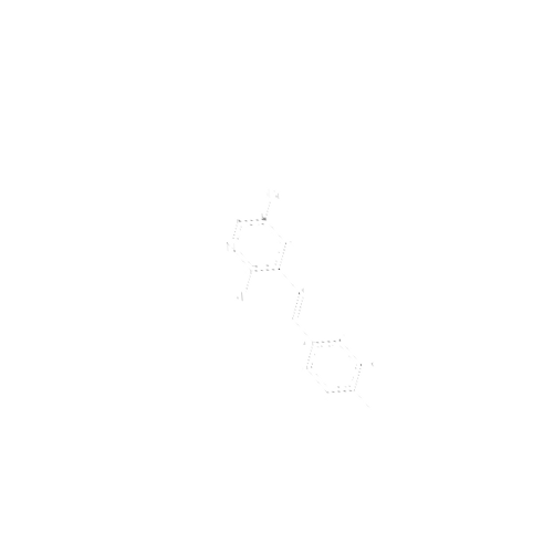 Fc1ccc(C=Cc2cc(Br)cnc2F)cc1